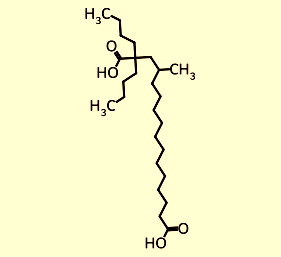 CCCCC(CCCC)(CC(C)CCCCCCCCCCCC(=O)O)C(=O)O